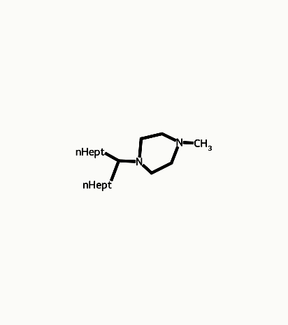 CCCCCCCC(CCCCCCC)N1CCN(C)CC1